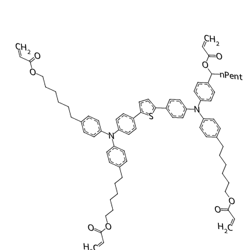 C=CC(=O)OCCCCCCc1ccc(N(c2ccc(CCCCCCOC(=O)C=C)cc2)c2ccc(-c3ccc(-c4ccc(N(c5ccc(CCCCCCOC(=O)C=C)cc5)c5ccc(C(CCCCC)OC(=O)C=C)cc5)cc4)s3)cc2)cc1